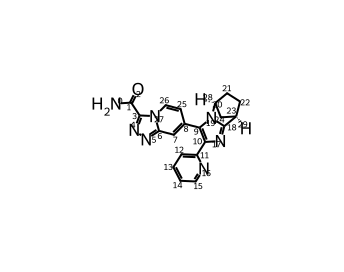 NC(=O)c1nnc2cc(-c3c(-c4ccccn4)nc4n3[C@H]3CC[C@@H]4C3)ccn12